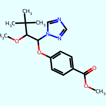 COC(=O)c1ccc(OC(C(OC)C(C)(C)C)n2cncn2)cc1